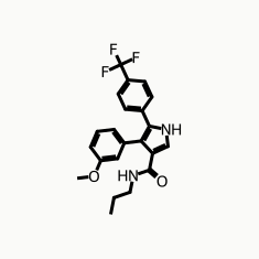 CCCNC(=O)c1c[nH]c(-c2ccc(C(F)(F)F)cc2)c1-c1cccc(OC)c1